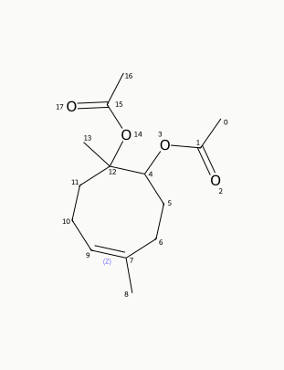 CC(=O)OC1CC/C(C)=C\CCC1(C)OC(C)=O